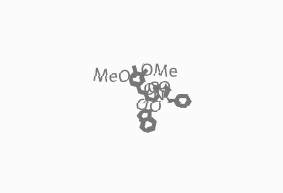 COc1cc(C[C@@H](O)[C@@H](OC2Cc3ccccc3C2)C(=O)N2C(=O)OC[C@H]2Cc2ccccc2)cc(OC)c1C